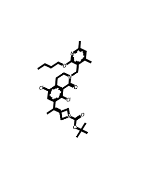 CCCCOc1nc(C)cc(C)c1CN1CCc2c(Cl)cc(C(C)=C3CN(C(=O)OC(C)(C)C)C3)c(Cl)c2C1=O